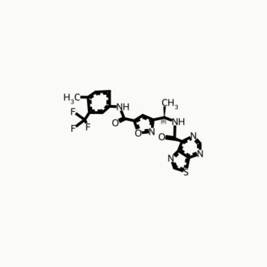 Cc1ccc(NC(=O)c2cc([C@@H](C)NC(=O)c3ncnc4scnc34)no2)cc1C(F)(F)F